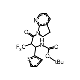 CC(C)(C)OC(=O)NC(c1cccs1)C(C(=O)N1CCc2cccnc21)C(F)(F)F